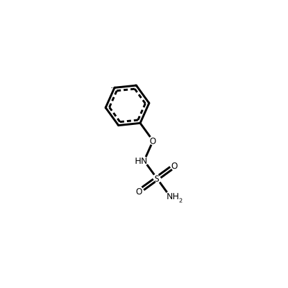 NS(=O)(=O)NOc1cc[c]cc1